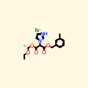 CCO[C@H](C)OC(=O)C(C(=O)OCc1cccc(C)c1)[n+]1cc[nH]c1.[Br-]